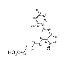 Cc1ccc(/C=C/C2CCC(=O)C2CCCCCCC(=O)O)c(C)c1